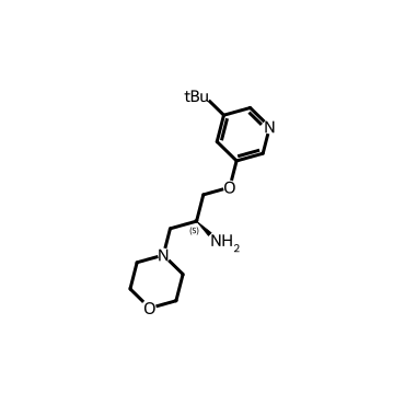 CC(C)(C)c1cncc(OC[C@@H](N)CN2CCOCC2)c1